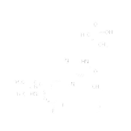 Cc1c(C(=O)NCCC(C)(C)C(=O)O)c(C#N)n(-c2ccc(S(=O)(=O)NC(C)(C)C)c(C(F)(F)F)c2)c1CC1CCCCC1